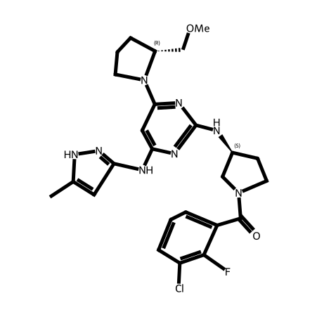 COC[C@H]1CCCN1c1cc(Nc2cc(C)[nH]n2)nc(N[C@H]2CCN(C(=O)c3cccc(Cl)c3F)C2)n1